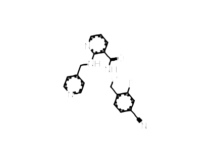 N#Cc1ccc(CONC(=O)c2cccnc2NCc2ccncc2)c(F)c1